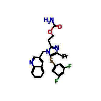 CC(C)c1nc(CCOC(N)=O)n(Cc2cnc3ccccc3c2)c1Sc1cc(F)cc(F)c1